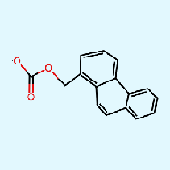 [O]C(=O)OCc1cccc2c1ccc1ccccc12